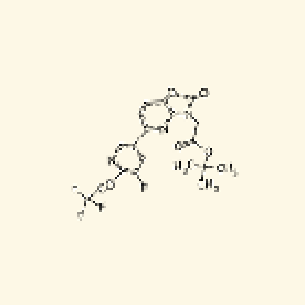 CC(C)(C)OC(=O)Cn1c(=O)oc2ccc(-c3cnc(OCC(F)(F)F)c(F)c3)nc21